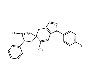 CCNC(CC1(C)Cc2cnn(-c3ccc(F)cc3)c2C=C1C)c1ccccc1